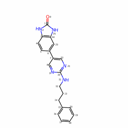 O=c1[nH]c2ccc(-c3cnc(NCCCc4ccccc4)nc3)cc2[nH]1